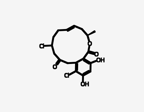 C[C@@H]1C/C=C/CCC(Cl)CC(=O)Cc2c(Cl)c(O)cc(O)c2C(=O)O1